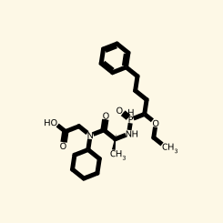 CCOC(CCCc1ccccc1)[PH](=O)N[C@@H](C)C(=O)N(CC(=O)O)C1CCCCC1